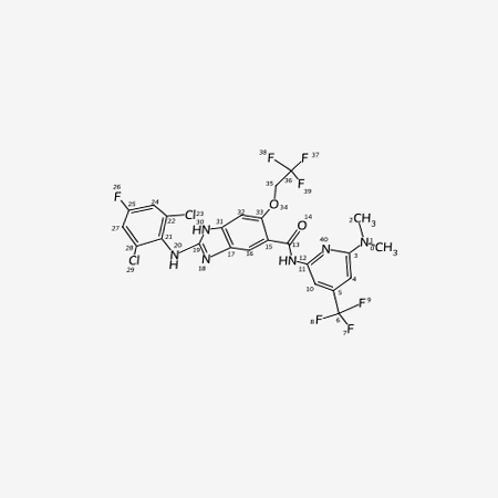 CN(C)c1cc(C(F)(F)F)cc(NC(=O)c2cc3nc(Nc4c(Cl)cc(F)cc4Cl)[nH]c3cc2OCC(F)(F)F)n1